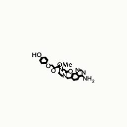 COC(C(=O)COc1ccc(O)cc1)N1CCN(Cc2ccc3c(N)ncnc3c2)C(=O)C1